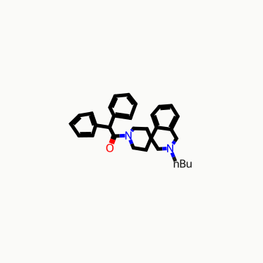 CCCCN1Cc2ccccc2C2(CCN(C(=O)C(c3ccccc3)c3ccccc3)CC2)C1